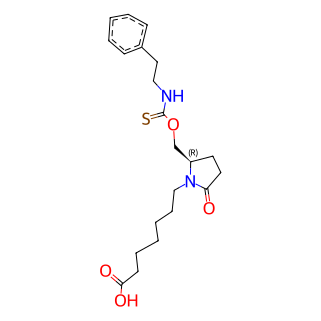 O=C(O)CCCCCCN1C(=O)CC[C@@H]1COC(=S)NCCc1ccccc1